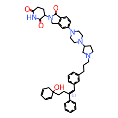 O=C1CCC(N2Cc3cc(N4CCN(C5CCN(CCCc6cccc(/C=C(\CCC7(O)C=CC=CC7)c7ccccc7)c6)C5)CC4)ccc3C2=O)C(=O)N1